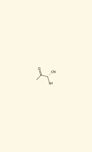 CC(=O)[C@@H](S)C#N